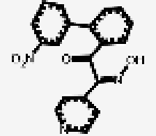 O=C(C(=NO)c1ccncc1)c1ccccc1-c1cccc([N+](=O)[O-])c1